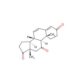 C[C@]12CCC(=O)C=C1C=C[C@@H]1[C@@H]2C(=O)C[C@]2(C)C(=O)CC[C@@H]12